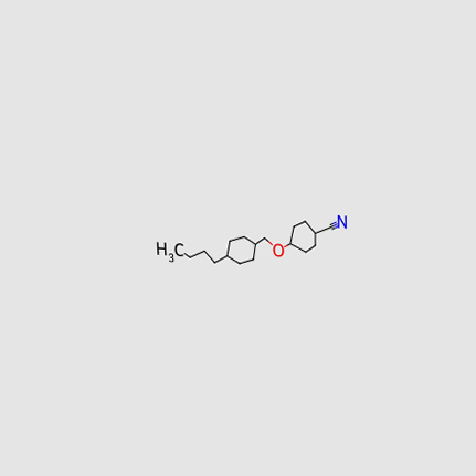 CCCCC1CCC(COC2CCC(C#N)CC2)CC1